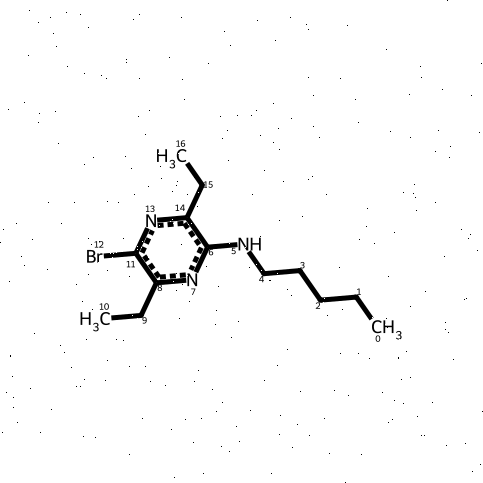 CCCCCNc1nc(CC)c(Br)nc1CC